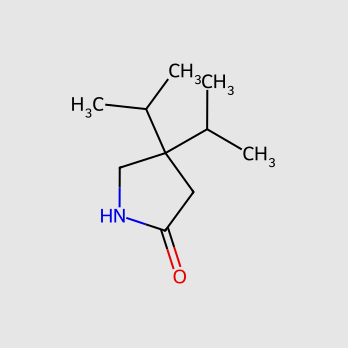 CC(C)C1(C(C)C)CNC(=O)C1